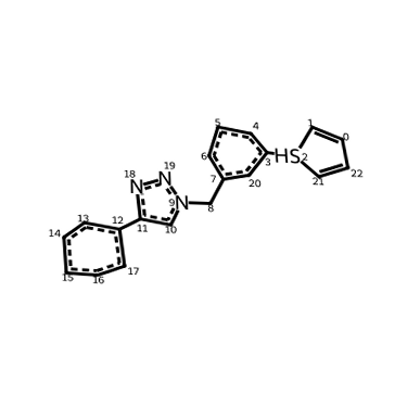 C1=C[SH](c2cccc(Cn3cc(-c4ccccc4)nn3)c2)C=C1